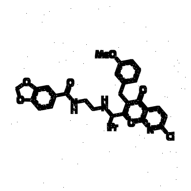 COc1cccc(Cc2c(C(NCCNC(=O)c3ccc4c(c3)OCO4)C(C)C)oc3nc(Cl)ccc3c2=O)c1